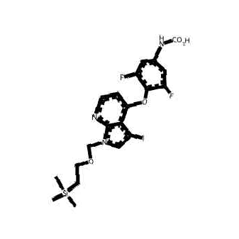 C[Si](C)(C)CCOCn1cc(I)c2c(Oc3c(F)cc(NC(=O)O)cc3F)ccnc21